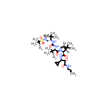 C=CCNC(=O)C(=O)C(NC(=O)[C@@H]1[C@@H]2[C@H](CN1C(=O)[C@@H](NC(=O)N[C@H](CN(C)S(=O)(=O)C(C)(C)C)C(C)(C)C)C(C)(C)C)C2(C)C)C1CC1